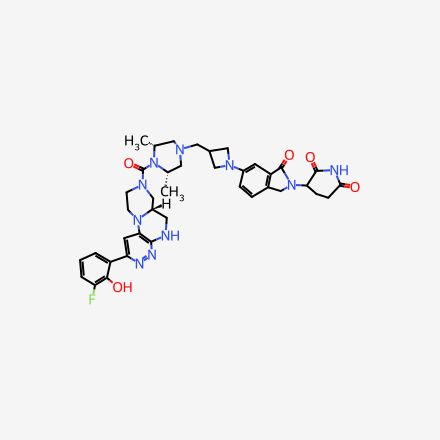 C[C@@H]1CN(CC2CN(c3ccc4c(c3)C(=O)N(C3CCC(=O)NC3=O)C4)C2)C[C@H](C)N1C(=O)N1CCN2c3cc(-c4cccc(F)c4O)nnc3NC[C@H]2C1